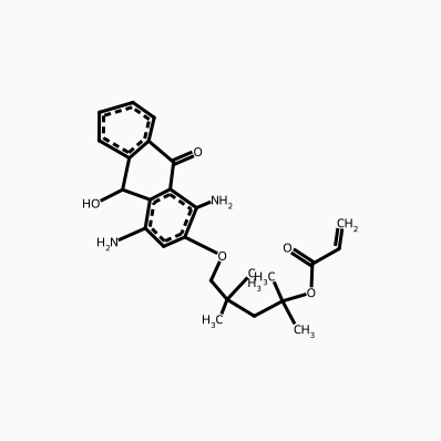 C=CC(=O)OC(C)(C)CC(C)(C)COc1cc(N)c2c(c1N)C(=O)c1ccccc1C2O